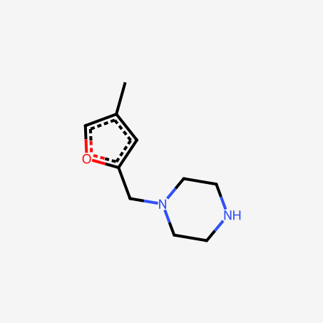 Cc1coc(CN2CCNCC2)c1